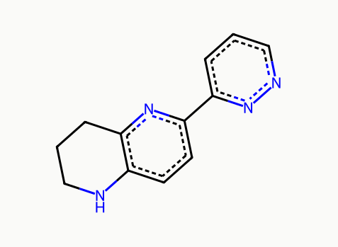 c1cnnc(-c2ccc3c(n2)CCCN3)c1